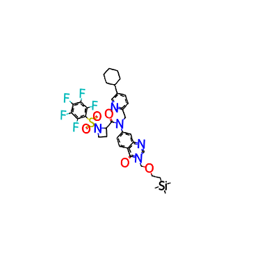 C[Si](C)(C)CCOCn1cnc2cc(N(Cc3ccc(C4CCCCC4)cn3)C(=O)C3CCN3S(=O)(=O)c3c(F)c(F)c(F)c(F)c3F)ccc2c1=O